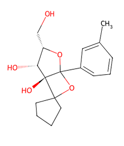 Cc1cccc(C23O[C@@H](CO)[C@@H](O)[C@@]2(O)C2(CCCC2)O3)c1